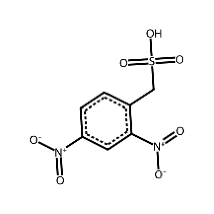 O=[N+]([O-])c1ccc(CS(=O)(=O)O)c([N+](=O)[O-])c1